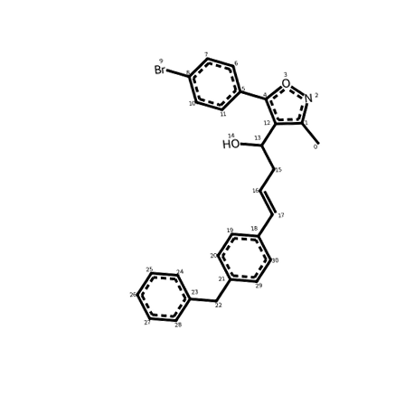 Cc1noc(-c2ccc(Br)cc2)c1C(O)CC=Cc1ccc(Cc2ccccc2)cc1